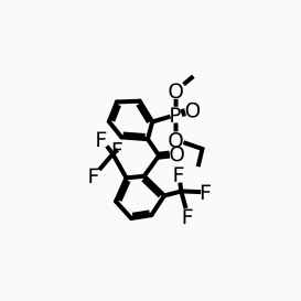 CCOP(=O)(OC)c1ccccc1C(=O)c1c(C(F)(F)F)cccc1C(F)(F)F